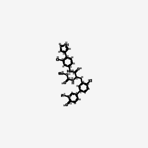 CC(C)n1cc(-c2ccc(Cl)c(CC(NC(=O)OC(C)(C)C)C(=O)Nc3ccc(-c4cn[nH]c4)c(Cl)c3)c2)ccc1=O